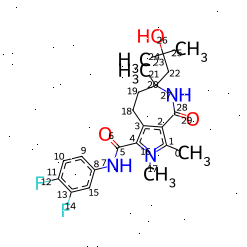 Cc1c2c(c(C(=O)Nc3ccc(F)c(F)c3)n1C)CCC(C)(CC(C)(C)O)NC2=O